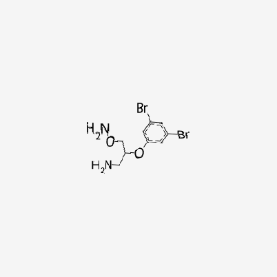 NCC(CON)Oc1cc(Br)cc(Br)c1